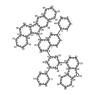 c1ccc(-c2ccc3c(-c4nc(-c5ccccc5)nc(-c5cccc6oc7ccccc7c56)n4)ccc(-n4c5cc6ccccc6cc5c5ccc6ccccc6c54)c3c2)cc1